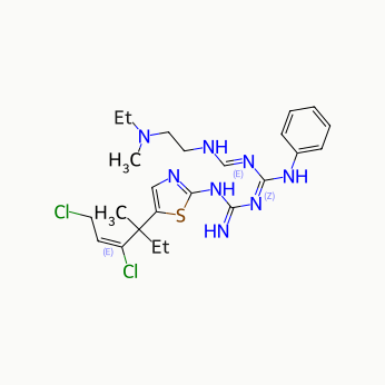 CCN(C)CCN/C=N/C(=N\C(=N)Nc1ncc(C(C)(CC)/C(Cl)=C\CCl)s1)Nc1ccccc1